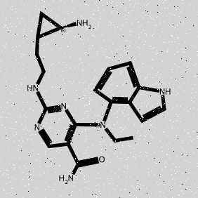 CCN(c1nc(NCCC2C[C@H]2N)ncc1C(N)=O)c1cccc2[nH]ccc12